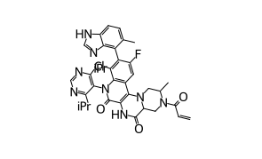 C=CC(=O)N1CC2C(=O)Nc3c(c4cc(F)c(-c5c(C)ccc6[nH]cnc56)c(Cl)c4n(-c4c(C(C)C)ncnc4C(C)C)c3=O)N2CC1C